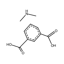 CNC.O=C(O)c1cccc(C(=O)O)c1